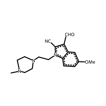 COc1ccc2c(c1)c(C=O)c(C#N)n2CCN1CCN(C)CC1